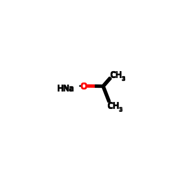 CC(C)[O].[NaH]